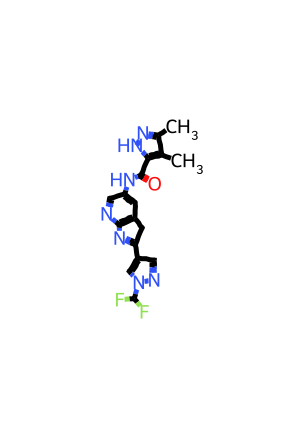 Cc1n[nH]c(C(=O)Nc2cnc3c(c2)CC(c2cnn(C(F)F)c2)=N3)c1C